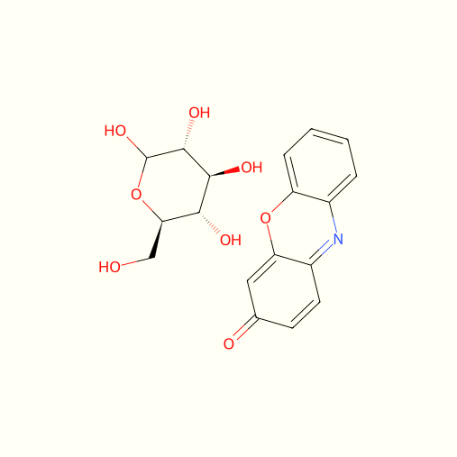 O=c1ccc2nc3ccccc3oc-2c1.OC[C@H]1OC(O)[C@H](O)[C@@H](O)[C@@H]1O